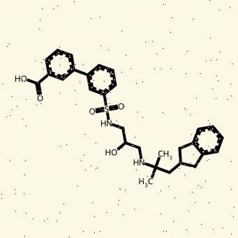 CC(C)(CC1Cc2ccccc2C1)NCC(O)CNS(=O)(=O)c1cccc(-c2cccc(C(=O)O)c2)c1